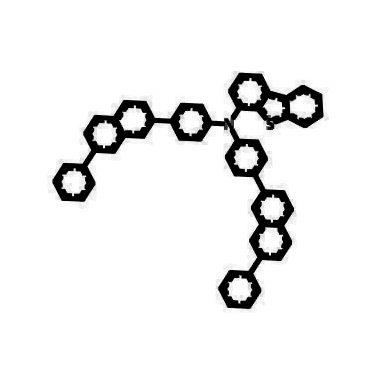 c1ccc(-c2ccc3ccc(-c4ccc(N(c5ccc(-c6ccc7ccc(-c8ccccc8)cc7c6)cc5)c5cccc6c5sc5ccccc56)cc4)cc3c2)cc1